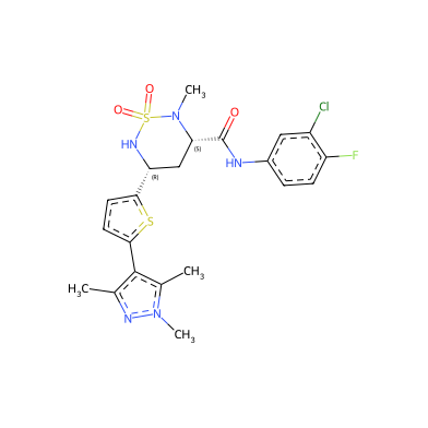 Cc1nn(C)c(C)c1-c1ccc([C@H]2C[C@@H](C(=O)Nc3ccc(F)c(Cl)c3)N(C)S(=O)(=O)N2)s1